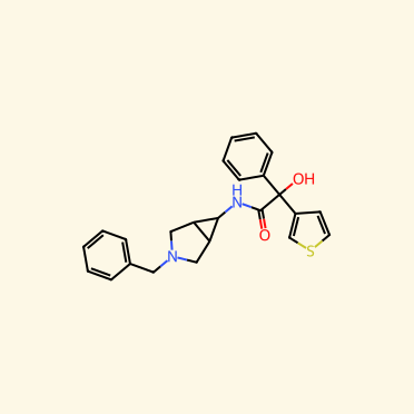 O=C(NC1C2CN(Cc3ccccc3)CC21)C(O)(c1ccccc1)c1ccsc1